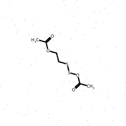 CC(=O)OCCSSOC(C)=O